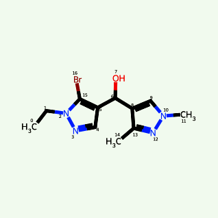 CCn1ncc(C(O)c2cn(C)nc2C)c1Br